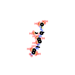 Cc1cc(N=Nc2c(S(=O)(=O)O)cc3c(S(=O)(=O)O)c(N=Nc4c(C)nn(-c5cc(S(=O)(=O)O)c6cc([N+](=O)[O-])cc(S(=O)(=O)O)c6c5)c4O)ccc3c2O)c(OCCCS(=O)(=O)O)cc1N=Nc1nc2c(S(=O)(=O)O)cc(S(=O)(=O)O)cc2s1